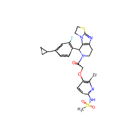 CCc1nc(NS(C)(=O)=O)ccc1OCC(=O)N1CCc2nc3n(c2C1c1ccc(C2CC2)cc1F)CCS3